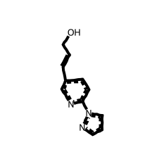 OC/C=C/c1ccc(-n2cccn2)nc1